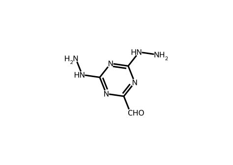 NNc1nc(C=O)nc(NN)n1